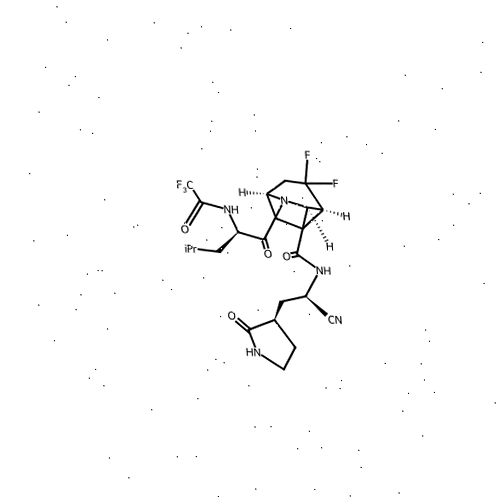 CC(C)C[C@@H](NC(=O)C(F)(F)F)C(=O)N1[C@H]2CC[C@@H]([C@H]1C(=O)N[C@@H](C#N)C[C@H]1CCNC1=O)C(F)(F)C2